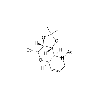 CC[C@H]1O[C@@H]2C=CCN(C(C)=O)[C@@H]2[C@H]2OC(C)(C)O[C@H]21